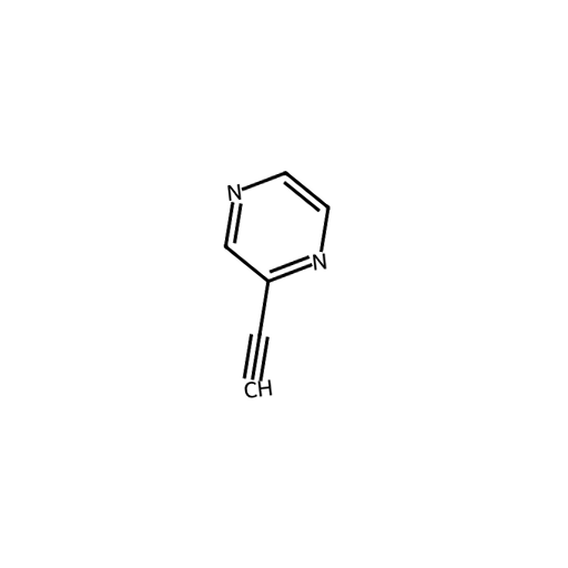 C#Cc1cnccn1